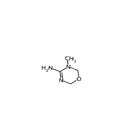 CN1COCN=C1N